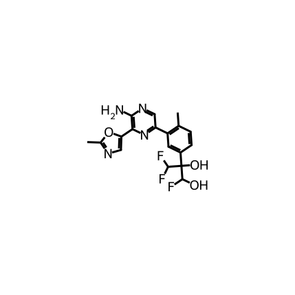 Cc1ncc(-c2nc(-c3cc(C(O)(C(O)F)C(F)F)ccc3C)cnc2N)o1